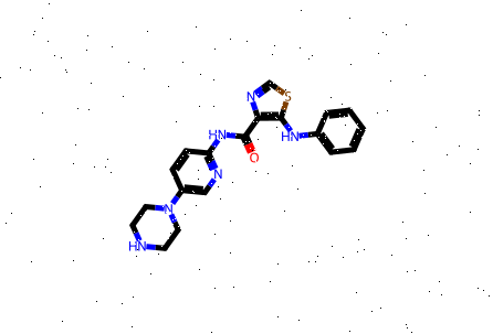 O=C(Nc1ccc(N2CCNCC2)cn1)c1ncsc1Nc1ccccc1